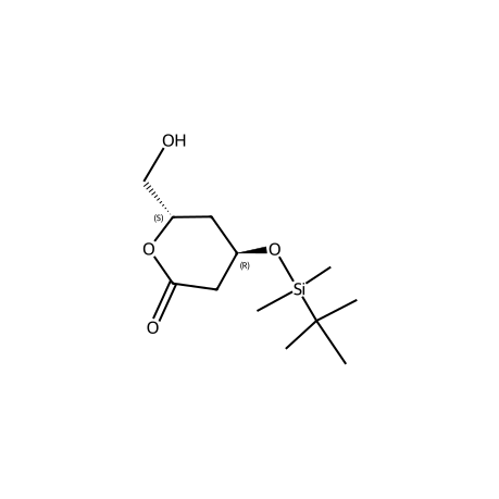 CC(C)(C)[Si](C)(C)O[C@H]1CC(=O)O[C@H](CO)C1